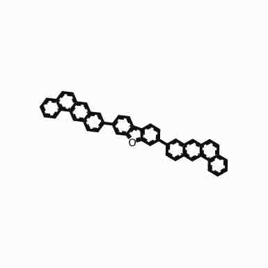 c1ccc2c(c1)ccc1cc3cc(-c4ccc5c(c4)oc4cc(-c6ccc7cc8c(ccc9ccccc98)cc7c6)ccc45)ccc3cc12